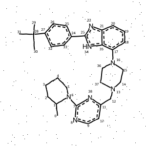 CC1CCCCN1c1nccc(CN2CCN(c3cccc4nc(-c5ccc(C(C)(C)C)cc5)[nH]c34)CC2)n1